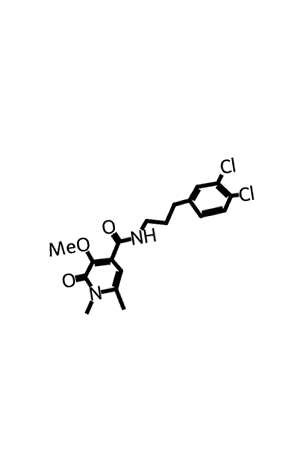 COc1c(C(=O)NCCCc2ccc(Cl)c(Cl)c2)cc(C)n(C)c1=O